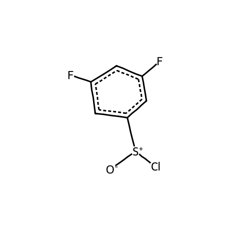 [O-][S+](Cl)c1cc(F)cc(F)c1